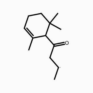 C[CH]CC(=O)C1C(C)=CCCC1(C)C